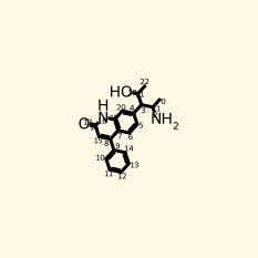 CC(N)C(c1ccc2c(-c3ccccc3)cc(=O)[nH]c2c1)C(C)O